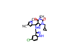 Cn1cc(C#N)cc1-c1c2c(=O)n(C)c(=O)n(CC3CC3)c2nn1Cc1n[nH]c2ccc(Cl)cc12